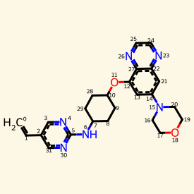 C=Cc1cnc(NC2CCC(Oc3cc(N4CCOCC4)cc4nccnc34)CC2)nc1